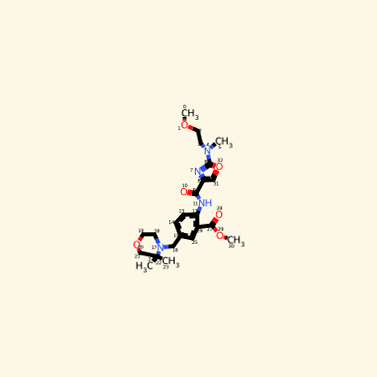 COCCN(C)c1nc(C(=O)Nc2ccc(CN3CCOCC3(C)C)cc2C(=O)OC)co1